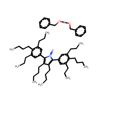 CCCCC1=C(c2cc(CCC)c(CCCC)c(CCC)c2)[N+](=[N-])C(c2cc(CCC)c(CCCC)c(CCC)c2)=C1CCCC.c1ccc(C[O][Ni][O]Cc2ccccc2)cc1